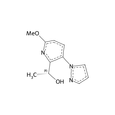 COc1ccc(-n2cccn2)c([C@@H](C)O)n1